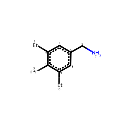 CCCc1c(CC)cc(CN)cc1CC